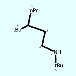 CCCC(CCNC(C)(C)C)C(C)(C)C